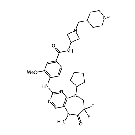 COc1cc(C(=O)NC2CN(CC3CCNCC3)C2)ccc1Nc1ncc2c(n1)N(C1CCCC1)CC(F)(F)C(=O)N2C